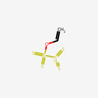 C=COS(=S)(=S)[SH](=S)=S